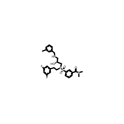 CN(C)C(=O)c1cccc(S(=O)(=O)N(CCc2cc(F)cc(F)c2)C[C@@H](O)CNCc2cccc(I)c2)c1